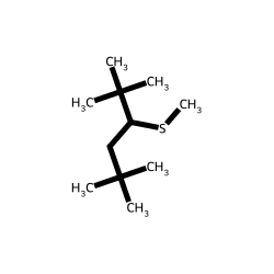 CSC(CC(C)(C)C)C(C)(C)C